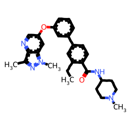 CCc1cc(-c2cccc(Oc3cnc4c(C)nn(C)c4c3)c2)ccc1C(=O)NC1CCN(C)CC1